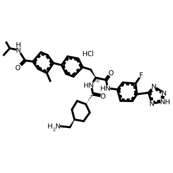 Cc1cc(C(=O)NC(C)C)ccc1-c1ccc(C[C@H](NC(=O)[C@H]2CC[C@H](CN)CC2)C(=O)Nc2ccc(-c3nn[nH]n3)c(F)c2)cc1.Cl